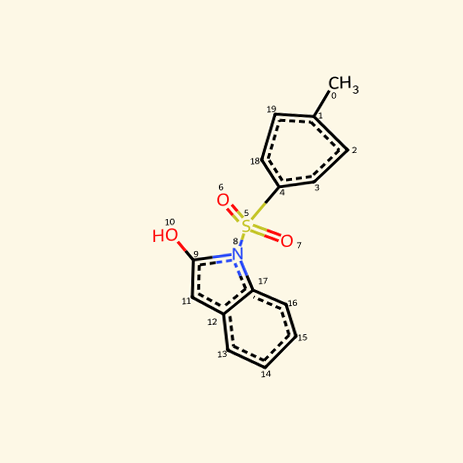 Cc1ccc(S(=O)(=O)n2c(O)cc3ccccc32)cc1